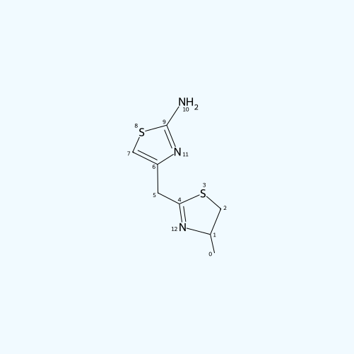 CC1CSC(Cc2csc(N)n2)=N1